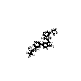 Cc1cn(-c2cncc3[nH]c(-c4n[nH]c5ccc(-c6cncc(NC(=O)C(C)(C)C)c6)cc45)nc23)cn1